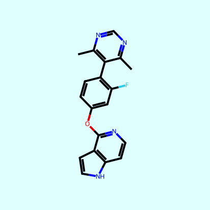 Cc1ncnc(C)c1-c1ccc(Oc2nccc3[nH]ccc23)cc1F